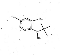 CCC(C)(C)N(c1ccc(C(C)(C)C)cc1C(C)(C)C)C(C)(C)C